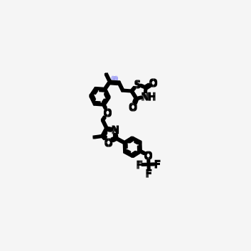 C/C(=C/CC1SC(=O)NC1=O)c1cccc(OCc2nc(-c3ccc(OC(F)(F)F)cc3)oc2C)c1